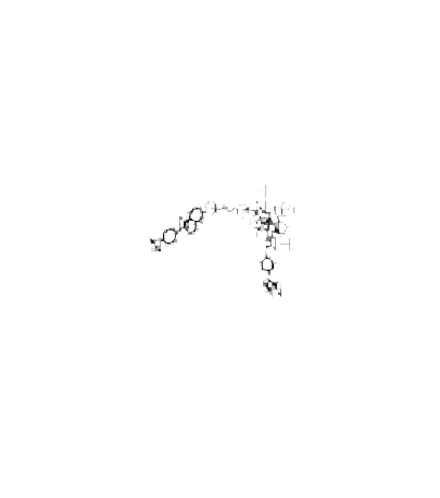 Cc1ncsc1-c1ccc(CNC(=O)[C@@H]2CCCN2C(=O)C(NC(=O)COCCCCOc2ccc3nc(-c4ccc(N(C)C)cc4)ccc3c2)C(C)(C)C)cc1